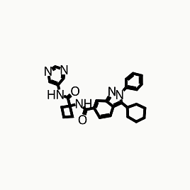 O=C(NC1(C(=O)Nc2cncnc2)CCC1)c1ccc2c(C3CCCCC3)n(-c3ccccc3)nc2c1